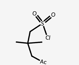 CC(=O)CC(C)(C)CS(=O)(=O)Cl